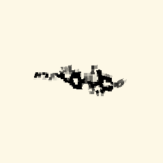 N[C@@H](Cc1ccc(NC(=O)c2c(Cl)c[n+]([O-])cc2Cl)cc1)C(=O)O